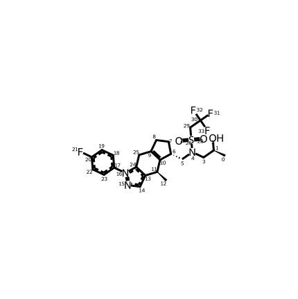 C[C@H](O)CN(C[C@H]1CCC2=C1[C@@H](C)c1cnn(-c3ccc(F)cc3)c1C2)S(=O)(=O)CC(F)(F)F